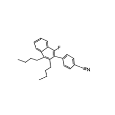 CCCCc1c(-c2ccc(C#N)cc2)c(F)c2ccccc2c1CCCC